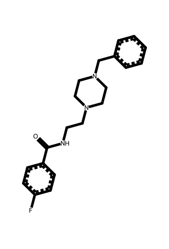 O=C(NCCN1CCN(Cc2ccccc2)CC1)c1ccc(F)cc1